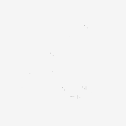 N/N=C\NCC(c1ccc(F)cc1F)C(F)(F)c1ccc(Oc2ccc(C(F)(F)F)cn2)cn1